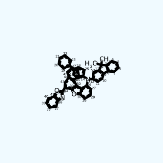 CC1(C)c2ccccc2-c2ccc(N(c3ccc(-c4ccccc4)cc3)c3cccc4oc5c(-c6nc7ccccc7o6)cc6ccccc6c5c34)cc21